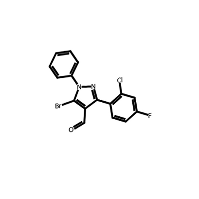 O=Cc1c(-c2ccc(F)cc2Cl)nn(-c2ccccc2)c1Br